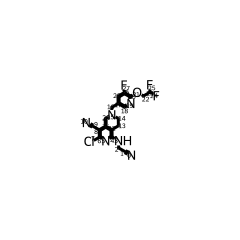 N#CCNc1nc(Cl)c(C#N)c2c1CCN(Cc1cnc(OCC(F)F)c(F)c1)C2